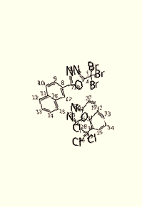 BrC(Br)(Br)c1nnc(-c2ccc3ccccc3c2)o1.C=Cc1nnco1.ClC(Cl)(Cl)c1ccccc1